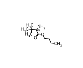 CCCCOC(=O)[C@H](N)C(C)(C)C